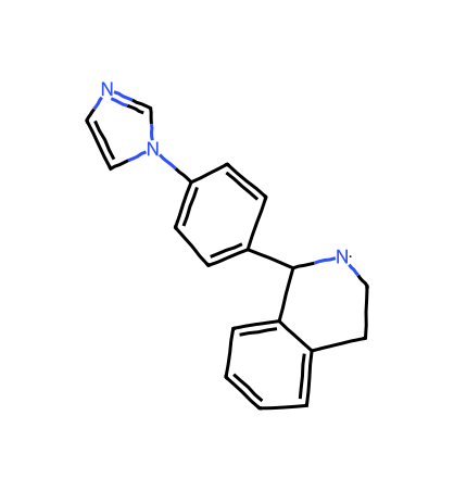 c1ccc2c(c1)CC[N]C2c1ccc(-n2ccnc2)cc1